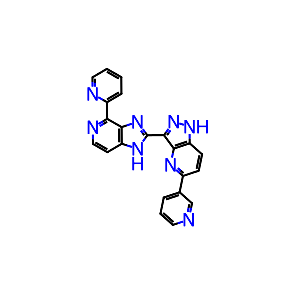 c1ccc(-c2nccc3[nH]c(-c4n[nH]c5ccc(-c6cccnc6)nc45)nc23)nc1